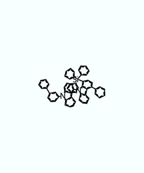 c1ccc(-c2cccc(-n3c4ccccc4c4c(-n5c6ccccc6c6c(-c7ccccc7)ccc([Si](c7ccccc7)(c7ccccc7)c7ccccc7)c65)cccc43)c2)cc1